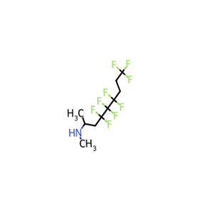 CNC(C)CC(F)(F)C(F)(F)C(F)(F)CCC(F)(F)F